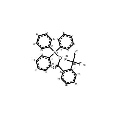 O=C(OS(c1ccccc1)(c1ccccc1)c1ccccc1)c1ccccc1C(F)(F)F